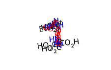 CCOc1ccc(C(=O)N2CCN(c3ccc(-c4cccnc4OCC)nc3CNCCCN(CCOCCOCCOCCNC(=O)CN3CCN(CC(=O)O)CCN(CC(=O)O)CCN(CC(=O)O)CC3)CC(=O)O)[C@H](CC)C2)c(C(F)(F)F)n1